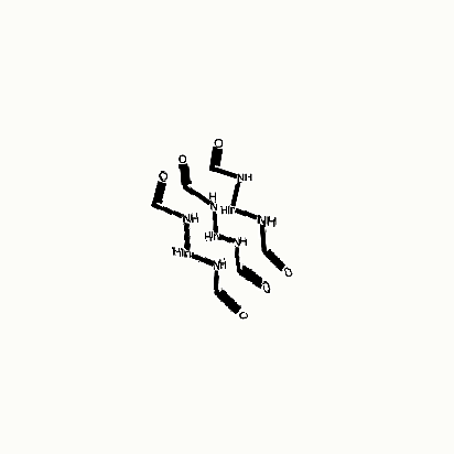 O=C[NH][InH][NH]C=O.O=C[NH][InH][NH]C=O.O=C[NH][InH][NH]C=O